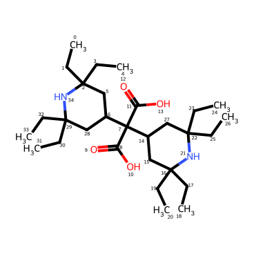 CCC1(CC)CC(C(C(=O)O)(C(=O)O)C2CC(CC)(CC)NC(CC)(CC)C2)CC(CC)(CC)N1